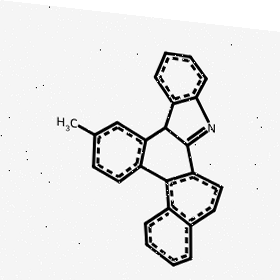 Cc1ccc2c(c1)C1C(=Nc3ccccc31)c1ccc3ccccc3c1-2